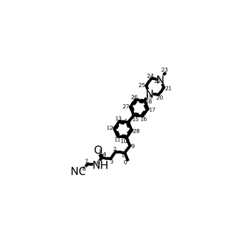 CC(CCC(=O)NCC#N)Cc1cccc(-c2ccc(N3CCN(C)CC3)cc2)c1